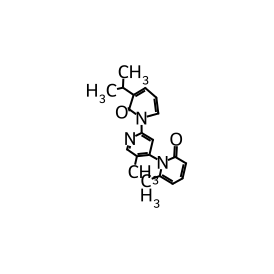 Cc1cnc(-n2cccc(C(C)C)c2=O)cc1-n1c(C)cccc1=O